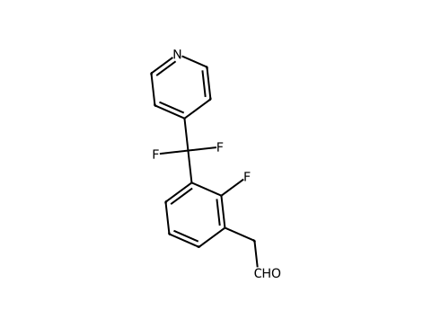 O=CCc1cccc(C(F)(F)c2ccncc2)c1F